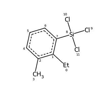 CCc1c(C)cccc1[Si](Cl)(Cl)Cl